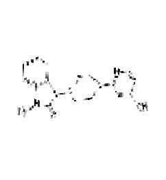 CCCn1c(=O)n(N2CCN(c3cc(C#N)ccn3)CC2)c2ccccc21